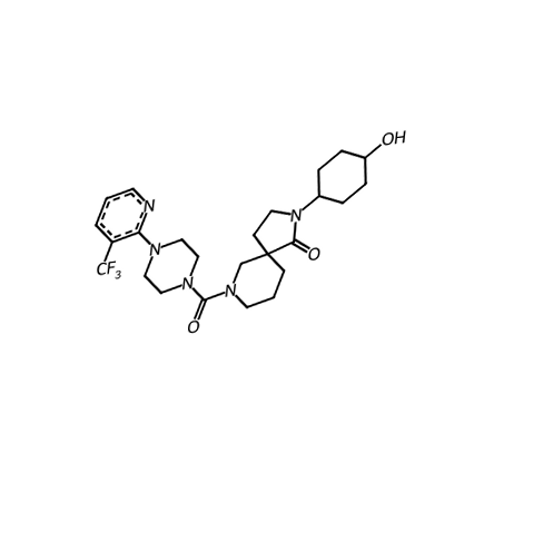 O=C(N1CCN(c2ncccc2C(F)(F)F)CC1)N1CCCC2(CCN(C3CCC(O)CC3)C2=O)C1